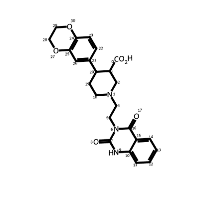 O=C(O)C1CN(CCn2c(=O)[nH]c3ccccc3c2=O)CCC1c1ccc2c(c1)OCCO2